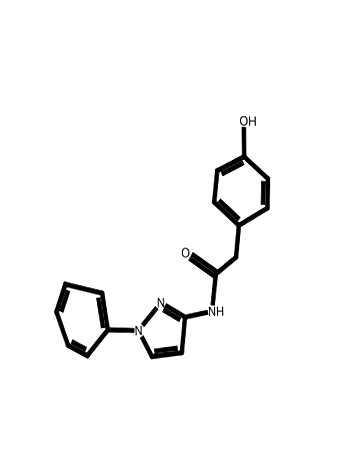 O=C(Cc1ccc(O)cc1)Nc1ccn(-c2ccccc2)n1